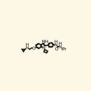 CC(C)NC(=O)Nc1ccc(-c2c(N)c3ccc(OCCNC4CC4)cc3n2C2CCC2)cc1